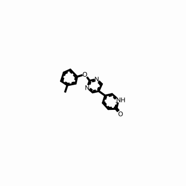 Cc1cccc(Oc2ncc(-c3ccc(=O)[nH]c3)cn2)c1